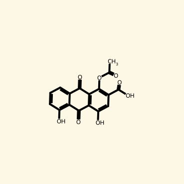 CC(=O)Oc1c(C(=O)O)cc(O)c2c1C(=O)c1cccc(O)c1C2=O